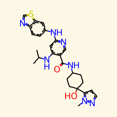 CC(C)Nc1cc(Nc2ccc3ncsc3c2)ncc1C(=O)NC1CCC(O)(c2ccnn2C)CC1